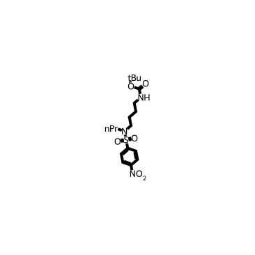 CCCN(CCCCNC(=O)OC(C)(C)C)S(=O)(=O)c1ccc([N+](=O)[O-])cc1